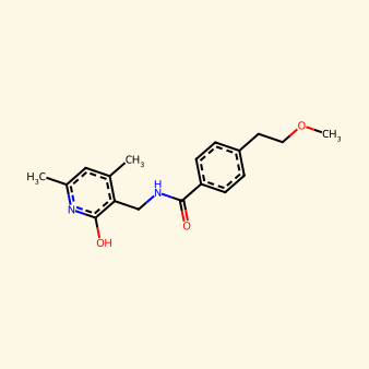 COCCc1ccc(C(=O)NCc2c(C)cc(C)nc2O)cc1